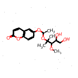 COC(C(O)CO)C(C)(C)O[C@H](C)Oc1ccc2oc(=O)ccc2c1